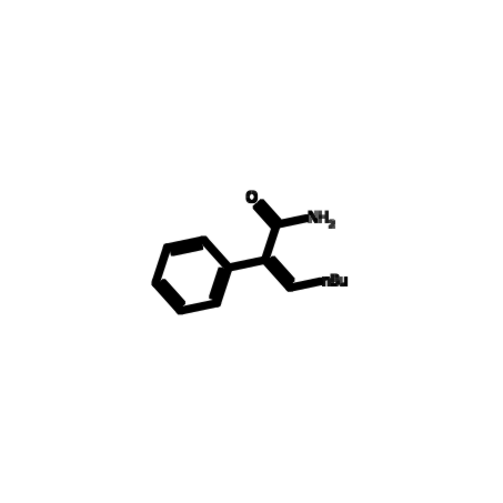 CCCCC=C(C(N)=O)c1ccccc1